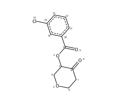 O=C(OC1COCCC1=O)c1cccc(Cl)c1